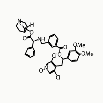 COc1ccc(C(Cc2c(Cl)c[n+]([O-])cc2Cl)OC(=O)c2cccc(CN[C@H](C(=O)O[C@H]3CN4CCC3CC4)c3ccccc3)c2)cc1OC